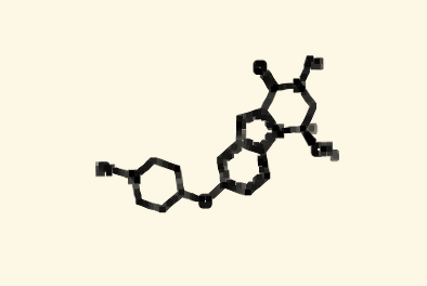 CC(=O)N1C[C@@H](C)n2c(cc3cc(OC4CCN(C(C)C)CC4)ccc32)C1=O